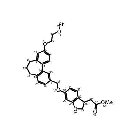 CCOCCOc1ccc2c(c1)CCCc1ccc(COc3ccc4c(c3)OCC4CC(=O)OC)cc1-2